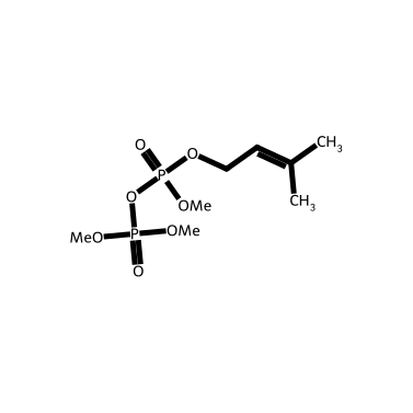 COP(=O)(OC)OP(=O)(OC)OCC=C(C)C